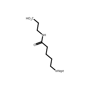 CCCCCCCCCCCC(=O)NCCC(=O)O